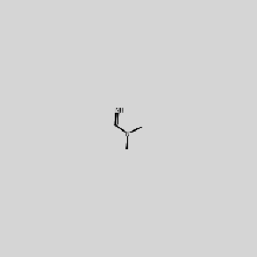 CN(C)C=N